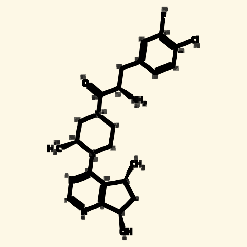 C[C@@H]1C[C@@H](O)c2ncnc(N3CCN(C(=O)[C@H](N)Cc4ccc(Cl)c(F)c4)C[C@@H]3C)c21